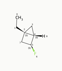 CC[C@@]12C[C@@H]1[C@@H](F)C2